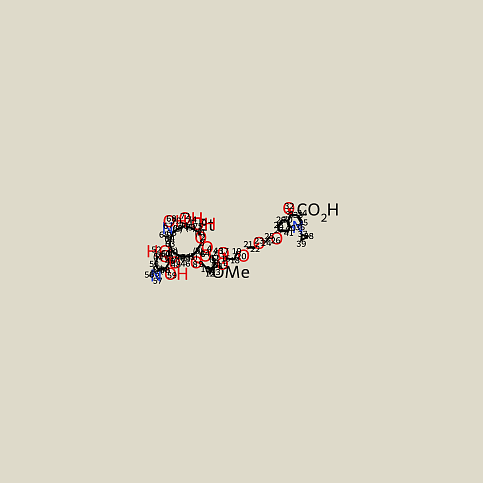 CC[C@H]1OC(=O)[C@H](C)[C@@H](OC2C[C@@](C)(OC)[C@@H](OC(=O)CCOCCOCCOc3ccc4c(=O)c(C(=O)O)cn(C5CC5)c4c3)[C@H](C)O2)[C@H](C)[C@@H](OC2O[C@H](C)C[C@H](N(C)C)[C@H]2O)[C@](C)(O)C[C@@H](C)C(=NO)[C@H](C)[C@@H](O)[C@]1(C)O